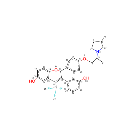 CC1CCN(C(C)COc2ccc(C3Oc4ccc(O)cc4C(C(F)(F)F)=C3c3cccc(O)c3)cc2)C1